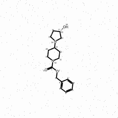 O=C(OCc1ccccc1)N1CCC(N2CC[C@H](O)C2)CC1